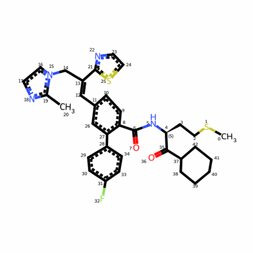 CSCC[C@H](NC(=O)c1ccc(C=C(Cn2ccnc2C)c2nccs2)cc1-c1ccc(F)cc1)C(=O)C1CCCCC1